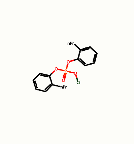 CCCc1ccccc1OP(=O)(OCl)Oc1ccccc1CCC